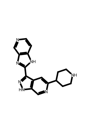 c1cc2[nH]c(-c3n[nH]c4cnc(C5CCNCC5)cc34)nc2cn1